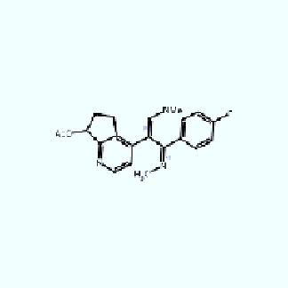 C/N=C(\C(=C/NC)c1ccnc2c1CCC2OC(C)=O)c1ccc(F)cc1